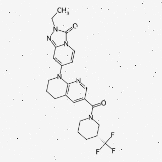 CCn1nc2cc(N3CCCc4cc(C(=O)N5CCC[C@@H](C(F)(F)F)C5)cnc43)ccn2c1=O